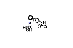 O=C(/C=C/c1ccccc1N1CCC(NC(=O)C2CCC2)CC1)NO